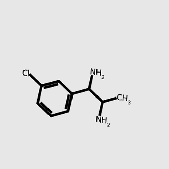 CC(N)C(N)c1cccc(Cl)c1